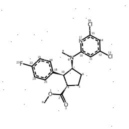 COC(=O)[C@@H]1CC[C@H](N(C)c2cc(Cl)cc(Cl)n2)[C@@H]1c1ccc(F)cc1